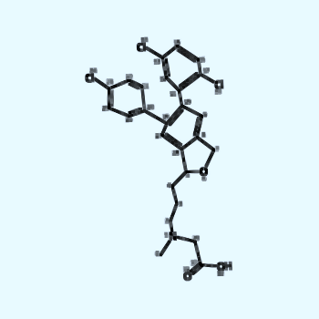 CN(CCCC1OCc2cc(-c3cc(Cl)ccc3Cl)c(-c3ccc(Cl)cc3)cc21)CC(=O)O